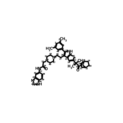 Cc1cc(C)cc(-c2[nH]c3sc(C(C)(C)C(=O)N4C5CCC4CC5)cc3c2CCN2CCN(CC(=O)Nc3ccc4[nH]nnc4c3)CC2)c1